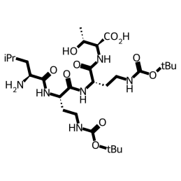 CC(C)C[C@H](N)C(=O)N[C@@H](CCNC(=O)OC(C)(C)C)C(=O)N[C@@H](CCNC(=O)OC(C)(C)C)C(=O)N[C@H](C(=O)O)[C@@H](C)O